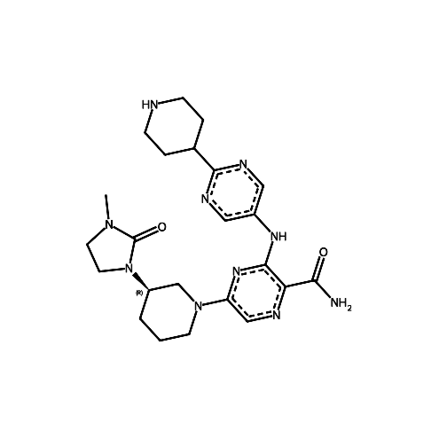 CN1CCN([C@@H]2CCCN(c3cnc(C(N)=O)c(Nc4cnc(C5CCNCC5)nc4)n3)C2)C1=O